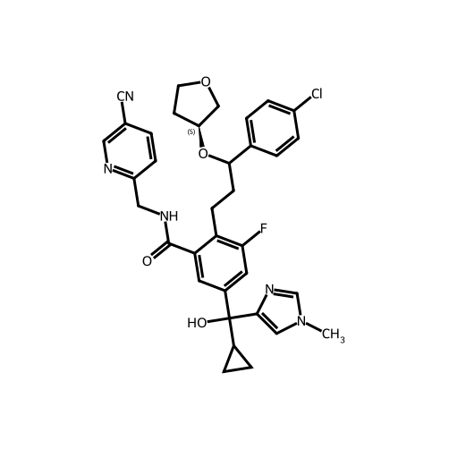 Cn1cnc(C(O)(c2cc(F)c(CCC(O[C@H]3CCOC3)c3ccc(Cl)cc3)c(C(=O)NCc3ccc(C#N)cn3)c2)C2CC2)c1